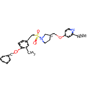 CNc1cc(OC[C@H]2CCN(S(=O)(=O)Cc3ccc(OCc4ccccc4)c(C)c3)C2)ccn1